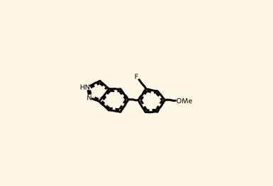 COc1ccc(-c2ccc3n[nH]cc3c2)c(F)c1